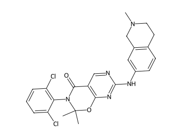 CN1CCc2ccc(Nc3ncc4c(n3)OC(C)(C)N(c3c(Cl)cccc3Cl)C4=O)cc2C1